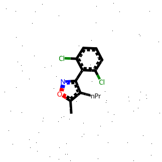 CCCc1c(-c2c(Cl)cccc2Cl)noc1C